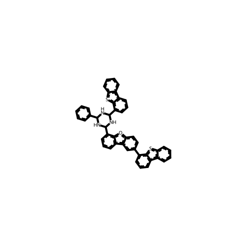 c1ccc(C2NC(c3cccc4c3oc3ccc(-c5cccc6c5sc5ccccc56)cc34)NC(c3cccc4c3sc3ccccc34)N2)cc1